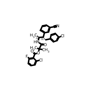 C[C@H](NC(=O)C(C)(C)OC(=O)c1c(F)cccc1Cl)[C@@H](Cc1ccc(Cl)cc1)c1cccc(C#N)c1